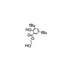 CC(C)(C)c1cc(C(=O)OCCO)c(O)c(C(C)(C)C)c1